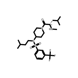 CN[C@@H](CC(C)C)C(=O)N1CCC(N(CCC(C)C)S(=O)(=O)c2cccc(C(F)(F)F)c2)CC1